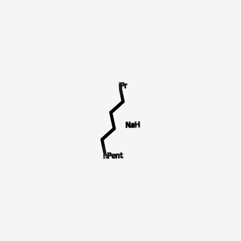 CCCCCCCCCC(C)C.[NaH]